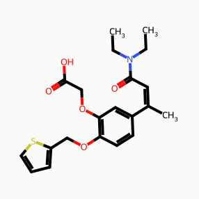 CCN(CC)C(=O)/C=C(/C)c1ccc(OCc2cccs2)c(OCC(=O)O)c1